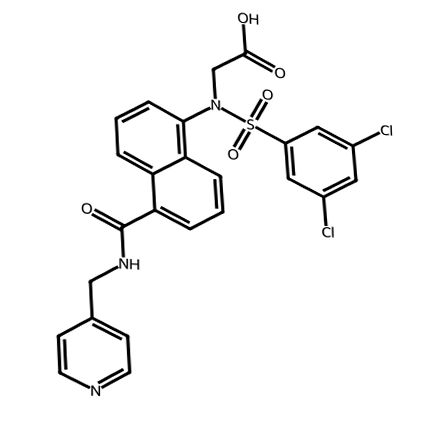 O=C(O)CN(c1cccc2c(C(=O)NCc3ccncc3)cccc12)S(=O)(=O)c1cc(Cl)cc(Cl)c1